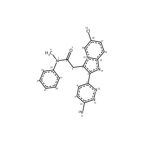 CN(C(=O)Cc1c(-c2ccc([18F])nn2)nc2ccc(Cl)cn12)c1ccccc1